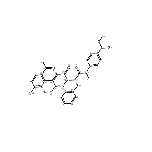 COC(=O)c1ccc(N(C)C(=O)[C@H](Cc2ccccc2)n2nc(OC)c(-c3cc(Cl)ccc3C(C)=O)cc2=O)cc1